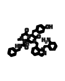 CN1CC(=O)N2[C@@H](Cc3ccc(O)cc3)C(=O)N(Cc3cccc4cnn(Cc5ccccc5N)c34)C[C@@H]2N1C(=O)NCc1ccccc1